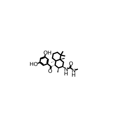 CNC(=O)N[C@@H]1C[C@@]2(C)C(C)(C)CCC[C@]2(C)[C@@H](C(=O)c2cc(O)cc(O)c2)[C@@H]1C